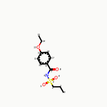 CCCS(=O)(=O)[N]C(=O)c1ccc(OCC)cc1